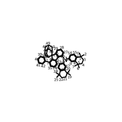 CC1(C)CCC(C)(C)c2cc(N(c3ccc4c(c3)C(C)(C)CCC4(C)C)c3cccc4c3-c3cccc(-c5ccccc5)c3C43C4CC5CC(C4)CC3C5)ccc21